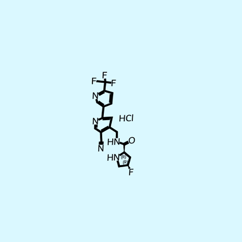 Cl.N#Cc1cnc(-c2ccc(C(F)(F)F)nc2)cc1CNC(=O)[C@H]1C[C@@H](F)CN1